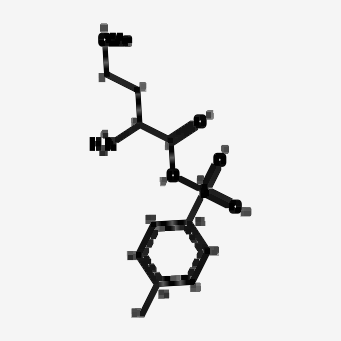 COCCC(N)C(=O)OS(=O)(=O)c1ccc(C)cc1